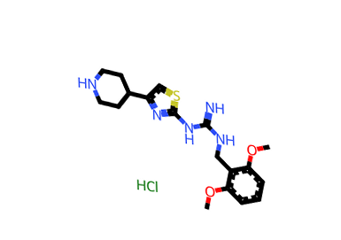 COc1cccc(OC)c1CNC(=N)Nc1nc(C2CCNCC2)cs1.Cl